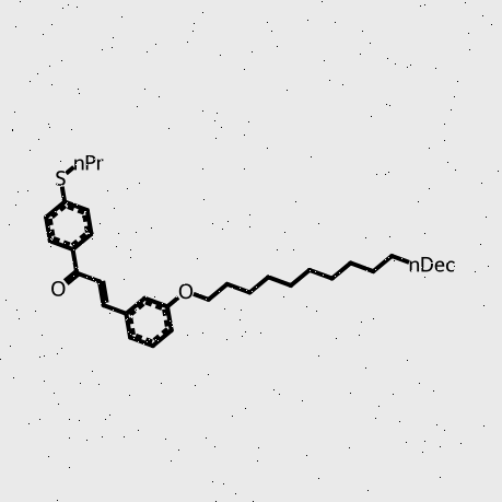 CCCCCCCCCCCCCCCCCCCCOc1cccc(C=CC(=O)c2ccc(SCCC)cc2)c1